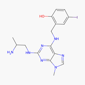 CC(N)CNc1nc(NCc2cc(I)ccc2O)c2ncn(C)c2n1